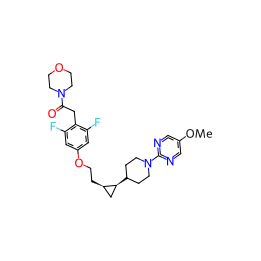 COc1cnc(N2CCC([C@H]3C[C@H]3CCOc3cc(F)c(CC(=O)N4CCOCC4)c(F)c3)CC2)nc1